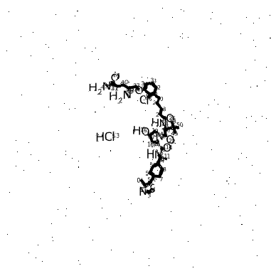 Cc1ncsc1-c1ccc([C@H](C)NC(=O)[C@@H]2C[C@@H](O)CN2C(=O)[C@@H](NC(=O)CCCCc2cccc(OC[C@H](N)CCC(N)=O)c2Cl)C(C)(C)C)cc1.Cl